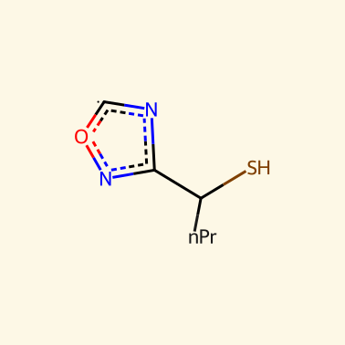 CCCC(S)c1n[c]on1